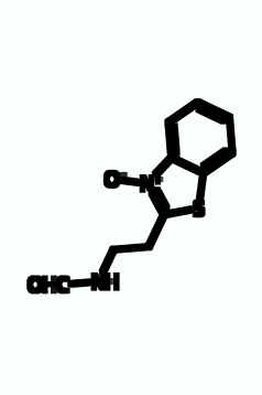 O=CNCCc1sc2ccccc2[n+]1[O-]